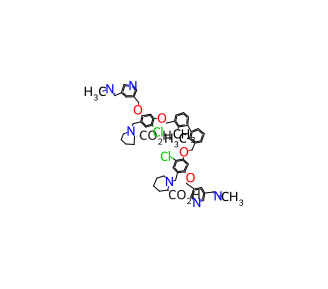 C/N=C/c1cncc(COc2cc(OCc3cccc(-c4cccc(COc5cc(OCc6cncc(/C=N/C)c6)c(CN6CCCC[C@H]6C(=O)O)cc5Cl)c4C)c3C)c(Cl)cc2CN2CCCC[C@H]2C(=O)O)c1